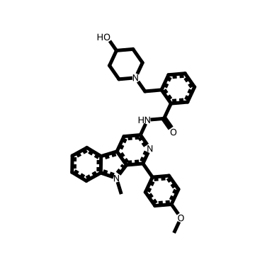 COc1ccc(-c2nc(NC(=O)c3ccccc3CN3CCC(O)CC3)cc3c4ccccc4n(C)c23)cc1